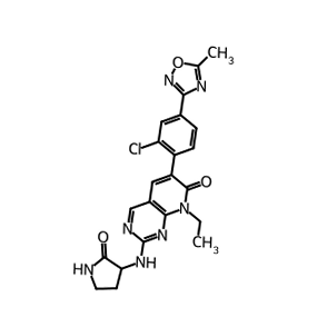 CCn1c(=O)c(-c2ccc(-c3noc(C)n3)cc2Cl)cc2cnc(NC3CCNC3=O)nc21